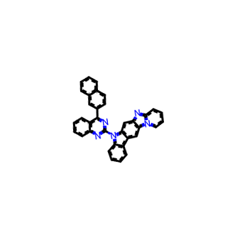 c1ccc2cc(-c3nc(-n4c5ccccc5c5cc6c(cc54)nc4ccccn46)nc4ccccc34)ccc2c1